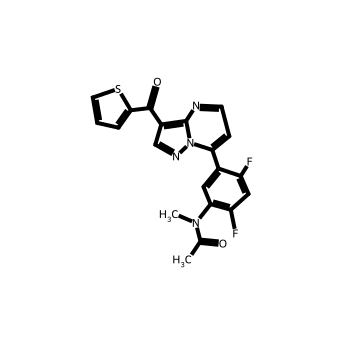 CC(=O)N(C)c1cc(-c2ccnc3c(C(=O)c4cccs4)cnn23)c(F)cc1F